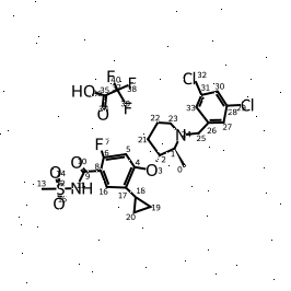 C[C@H]1[C@H](Oc2cc(F)c(C(=O)NS(C)(=O)=O)cc2C2CC2)CCCN1Cc1cc(Cl)cc(Cl)c1.O=C(O)C(F)(F)F